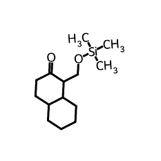 C[Si](C)(C)OCC1C(=O)CCC2CCCCC21